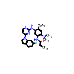 C=CC(=O)Nc1cc(Nc2nccc(-n3ccc4ccc(F)cc43)n2)c(OC)cc1N(C)C